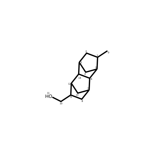 CC1CC2CC1C1C3CC(CO)C(C3)C21